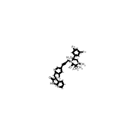 CC1(C)C(=O)N(CC#Cc2cnc3c(c2)C[C@@]2(C3)C(=O)Nc3ncccc32)[C@](C)(c2cc(F)cc(F)c2)CN1[11CH3]